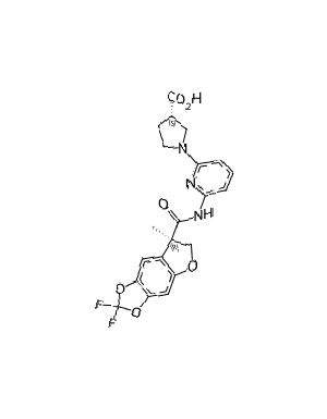 C[C@]1(C(=O)Nc2cccc(N3CC[C@H](C(=O)O)C3)n2)COc2cc3c(cc21)OC(F)(F)O3